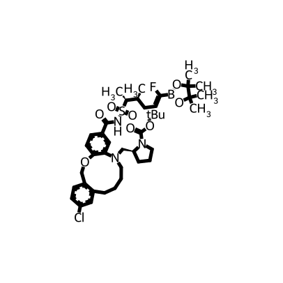 C[C@H]([C@@H](C)C/C=C(\F)B1OC(C)(C)C(C)(C)O1)S(=O)(=O)NC(=O)c1ccc2c(c1)N(C[C@@H]1CCCN1C(=O)OC(C)(C)C)CCCCc1cc(Cl)ccc1CO2